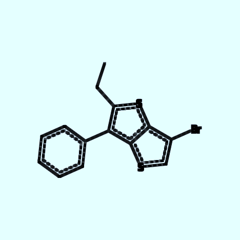 CCc1sc2c(Br)csc2c1-c1ccccc1